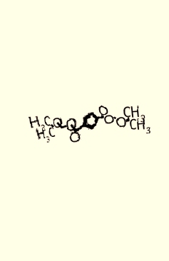 CC(C)OCOC(=O)c1ccc(C(=O)OCOC(C)C)cc1